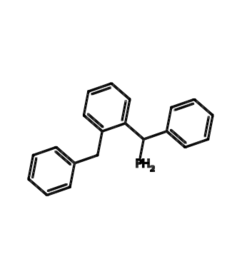 PC(c1ccccc1)c1ccccc1Cc1ccccc1